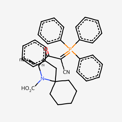 CCCC[C@@H](C(=O)C(C#N)=P(c1ccccc1)(c1ccccc1)c1ccccc1)N(C(=O)O)C1(Cc2ccccc2)CCCCC1